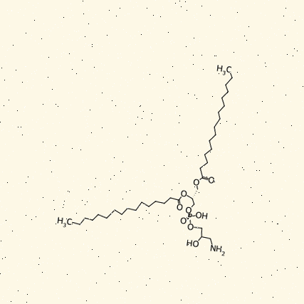 CCCCCCCCCCCCCCCC(=O)OC[C@H](COP(=O)(O)OCC(O)CN)OC(=O)CCCCCCCCCCCCCCC